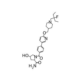 CCC(F)(CC)CN1CCC(COc2ccc(-c3ccc(C(=O)N4CC(O)CC4C(N)=O)cc3)cn2)CC1